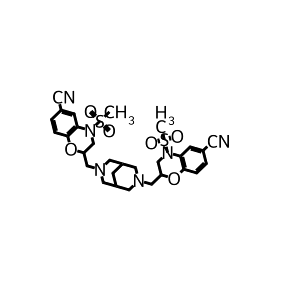 CS(=O)(=O)N1CC(CN2CC3CC(C2)CN(CC2CN(S(C)(=O)=O)c4cc(C#N)ccc4O2)C3)Oc2ccc(C#N)cc21